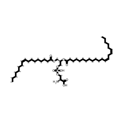 CCCCC/C=C\C/C=C\CCCCCCCCCCCC(=O)O[C@H](COC(=O)CCCCCCC/C=C\CCCCCCC)COP(=O)(O)OC[C@H](N)C(=O)O